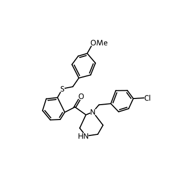 COc1ccc(CSc2ccccc2C(=O)C2CNCCN2Cc2ccc(Cl)cc2)cc1